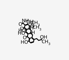 CC(O)CCc1ccc(O)c2c1C[C@H]1C[C@H]3[C@H](N(C)C)C(O)=C(C(N)=O)C(=O)[C@@]3(O)C(O)=C1C2=O